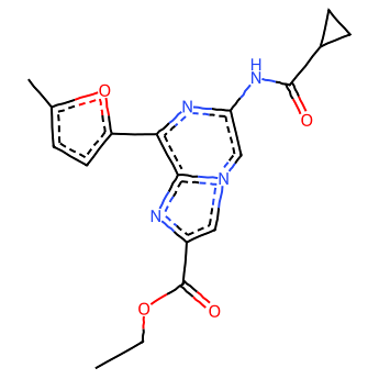 CCOC(=O)c1cn2cc(NC(=O)C3CC3)nc(-c3ccc(C)o3)c2n1